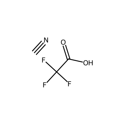 C#N.O=C(O)C(F)(F)F